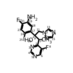 C[C@@H](c1ncncc1F)[C@](O)(Cn1cncn1)c1cc(N)c(F)cc1I